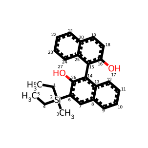 CC[Si](C)(CC)c1cc2ccccc2c(-c2c(O)ccc3ccccc23)c1O